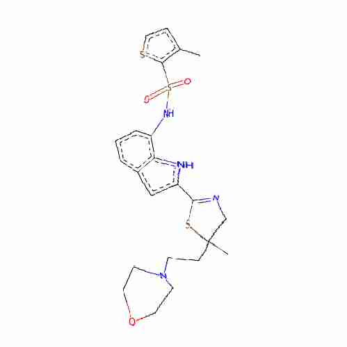 Cc1ccsc1S(=O)(=O)Nc1cccc2cc(C3=NCC(C)(CCN4CCOCC4)S3)[nH]c12